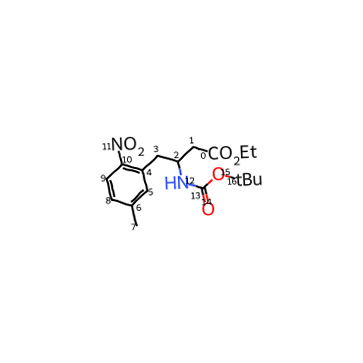 CCOC(=O)CC(Cc1cc(C)ccc1[N+](=O)[O-])NC(=O)OC(C)(C)C